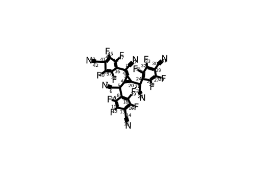 N#CC(=C1C(C(C#N)c2c(F)c(F)c(C#N)c(F)c2F)=C1C(C#N)c1c(F)c(F)c(C#N)c(F)c1F)c1c(F)c(F)c(C#N)c(F)c1F